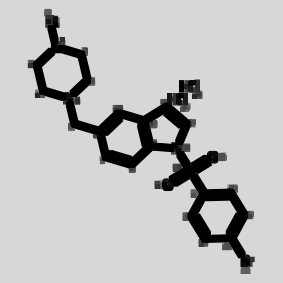 CCN1CCN(Cc2ccc3c(ccn3S(=O)(=O)c3ccc(Br)cc3)c2)CC1.Cl.Cl